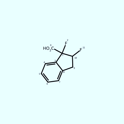 O=C(O)C1(F)c2ccccc2CC1F